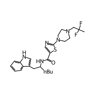 CCCCC(Cc1c[nH]c2ccccc12)NC(=O)c1cnc(N2CCN(CC(C)(F)F)CC2)s1